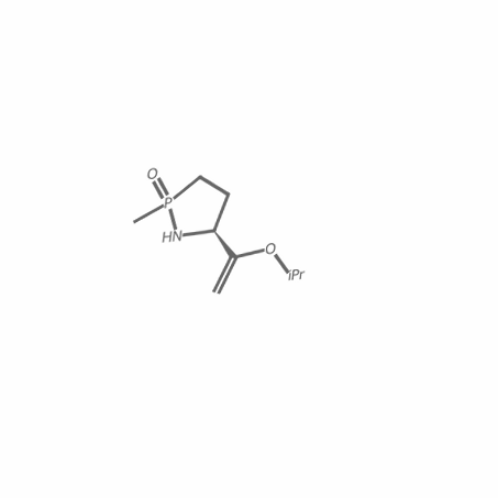 C=C(OC(C)C)[C@@H]1CCP(C)(=O)N1